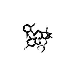 CCN(C[C@@]12CC[C@@H](c3cc(-c4c(F)cccc4F)nnc31)C2(C)C)S(=O)(=O)c1cc(F)cc(F)c1